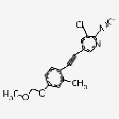 [C-]#[N+]c1ncc(C#Cc2ccc(OCOC)cc2C)cc1Cl